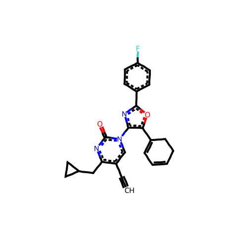 C#Cc1cn(-c2nc(-c3ccc(F)cc3)oc2C2=CC=CCC2)c(=O)nc1CC1CC1